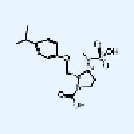 CC(C)c1ccc(OC[C@H]2[C@@H](N(C)S(=O)(=O)O)CCN2C(=O)O)cc1